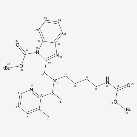 Cc1cccnc1C(C)N(CCCCNC(=O)OC(C)(C)C)Cc1nc2ccccc2n1C(=O)OC(C)(C)C